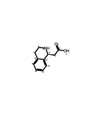 O=C(O)C[C@@H]1NCCc2ccccc21